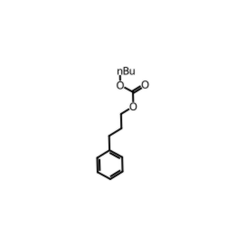 CCCCOC(=O)OCCCc1ccccc1